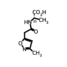 Cc1cc(CC(=O)N[C@@H](C)C(=O)O)on1